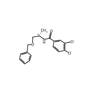 C[C@@H](COCc1ccccc1)NC(=O)c1ccc(Cl)c(Cl)c1